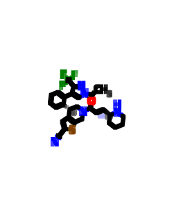 CCn1cc(-c2ccccc2[C@@H]2CN(C(=O)/C=C/[C@@H]3CCCCN3)Cc3sc(C#N)cc32)c(C(F)(F)F)n1